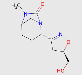 CN1C(=O)N2CC1CC[C@H]2C1=NO[C@@H](CO)C1